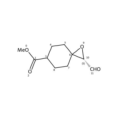 COC(=O)C1CCC2(CC1)O[C@@H]2C=O